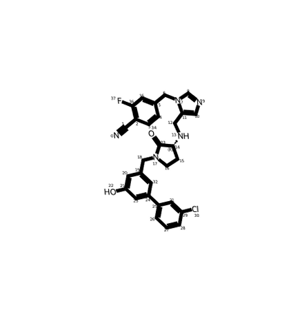 N#Cc1ccc(Cn2cncc2CN[C@@H]2CCN(Cc3cc(O)cc(-c4cccc(Cl)c4)c3)C2=O)cc1F